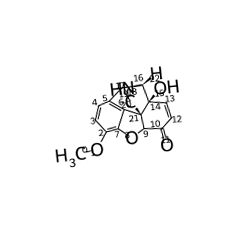 COc1ccc2c3c1OC1C(=O)C=C[C@@]4(O)[C@@H](C2)NCC[C@]314